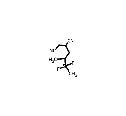 CC(CC(C#N)CC#N)[Si](C)(F)F